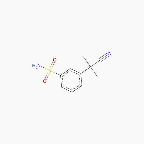 CC(C)(C#N)c1cccc(S(N)(=O)=O)c1